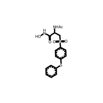 CC(=O)NC(CS(=O)(=O)c1ccc(Sc2ccccc2)cc1)C(=O)NO